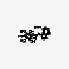 O=C(Cc1cccc2ccccc12)O[C@]1(O)[C@H](O)[C@H](O)[C@@H](O)[C@H](O)[C@H]1O.[NaH]